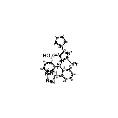 CCCc1nc(-n2cccc2)c(C(=O)O)n1C(c1ccccc1)c1ccccc1-c1nnn[nH]1